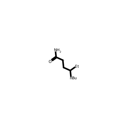 CCCCC(CC)C[CH]C(N)=O